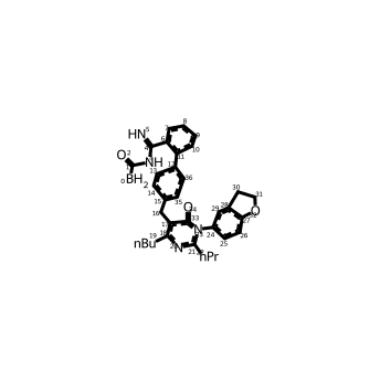 BC(=O)NC(=N)c1ccccc1-c1ccc(Cc2c(CCCC)nc(CCC)n(-c3ccc4c(c3)CCO4)c2=O)cc1